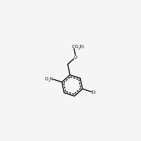 CCOC(=O)OCc1cc(CC)ccc1[N+](=O)[O-]